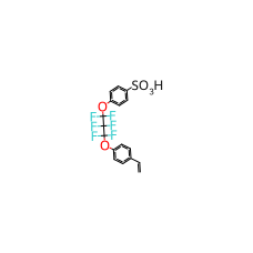 C=Cc1ccc(OC(F)(F)C(F)(F)C(F)(F)Oc2ccc(S(=O)(=O)O)cc2)cc1